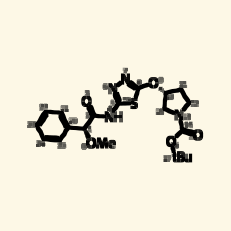 CO[C@H](C(=O)Nc1nnc(O[C@@H]2CCN(C(=O)OC(C)(C)C)C2)s1)c1ccccc1